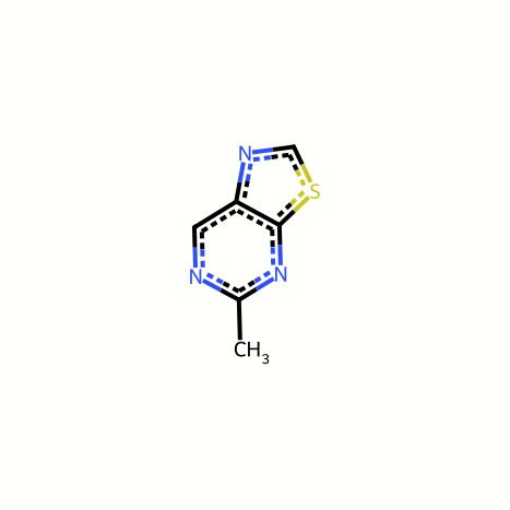 Cc1ncc2ncsc2n1